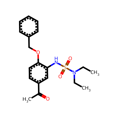 CCN(CC)S(=O)(=O)Nc1cc(C(C)=O)ccc1OCc1ccccc1